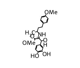 COC(=O)[C@@H](NC(C)CCc1ccc(OC)cc1)C(O)c1ccc(O)c(O)c1